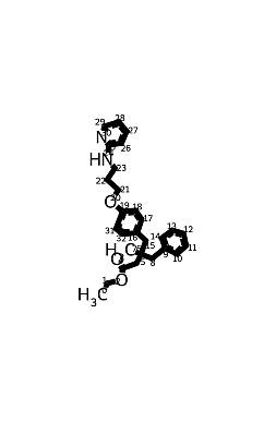 CCOC(=O)CC(C)(Cc1ccccc1)Cc1ccc(OCCCNc2ccccn2)cc1